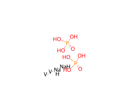 O=P(O)(O)O.O=P(O)(O)O.[NaH].[NaH].[V].[V]